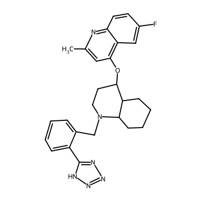 Cc1cc(OC2CCN(Cc3ccccc3-c3nnn[nH]3)C3CCCCC23)c2cc(F)ccc2n1